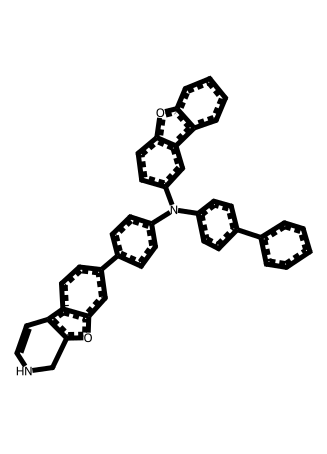 C1=Cc2c(oc3cc(-c4ccc(N(c5ccc(-c6ccccc6)cc5)c5ccc6oc7ccccc7c6c5)cc4)ccc23)CN1